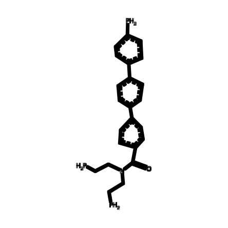 O=C(c1ccc(-c2ccc(-c3ccc(P)cc3)cc2)cc1)N(CCP)CCP